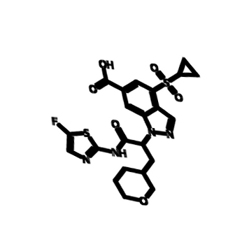 O=C(O)c1cc(S(=O)(=O)C2CC2)c2cnn(C(CC3CCCOC3)C(=O)Nc3ncc(F)s3)c2c1